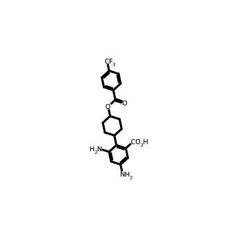 Nc1cc(N)c(C2CCC(OC(=O)c3ccc(C(F)(F)F)cc3)CC2)c(C(=O)O)c1